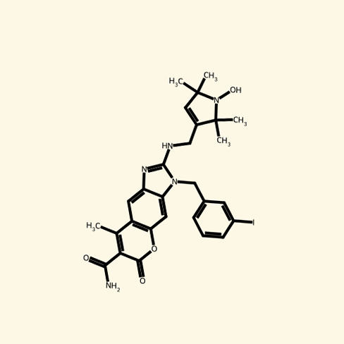 Cc1c(C(N)=O)c(=O)oc2cc3c(cc12)nc(NCC1=CC(C)(C)N(O)C1(C)C)n3Cc1cccc(I)c1